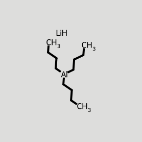 CCC[CH2][Al]([CH2]CCC)[CH2]CCC.[LiH]